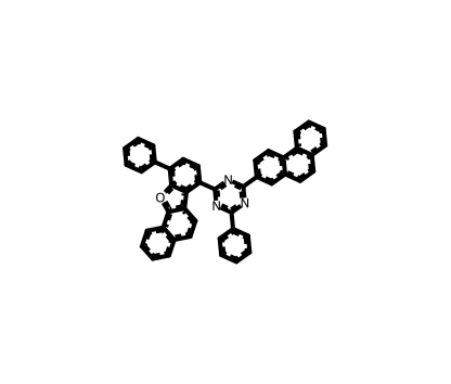 c1ccc(-c2nc(-c3ccc4c(ccc5ccccc54)c3)nc(-c3ccc(-c4ccccc4)c4oc5c6ccccc6ccc5c34)n2)cc1